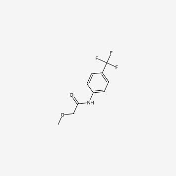 CO[CH]C(=O)Nc1ccc(C(F)(F)F)cc1